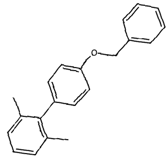 Cc1cccc(C)c1-c1ccc(OCc2ccccc2)cc1